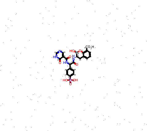 O=C(O)c1cccc2c1OB(O)[C@@H](NC(=O)C(NC(=O)c1cnc[nH]c1=O)c1ccc(P(=O)(O)O)cc1)C2